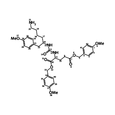 COc1ccc(COC(=O)CCC(NC(=O)NC(CCCCN)Cc2ccc(OC)cc2)C(=O)OCc2ccc(OC)cc2)cc1